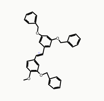 COc1ccc(/C=C/c2cc(OCc3ccccc3)cc(OCc3ccccc3)c2)cc1OCc1ccccc1